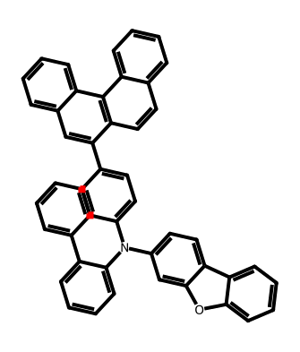 c1ccc(-c2ccccc2N(c2ccc(-c3cc4ccccc4c4c3ccc3ccccc34)cc2)c2ccc3c(c2)oc2ccccc23)cc1